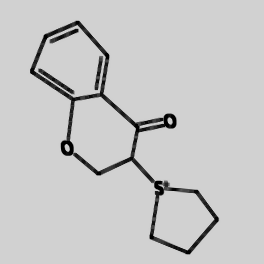 O=C1c2ccccc2OCC1[S+]1CCCC1